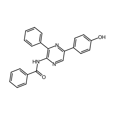 O=C(Nc1ncc(-c2ccc(O)cc2)nc1-c1ccccc1)c1ccccc1